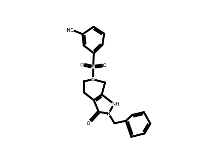 N#Cc1cccc(S(=O)(=O)N2CCc3c([nH]n(Cc4ccccc4)c3=O)C2)c1